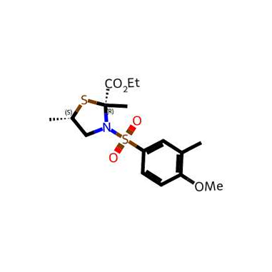 CCOC(=O)[C@@]1(C)S[C@@H](C)CN1S(=O)(=O)c1ccc(OC)c(C)c1